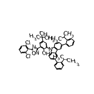 CC(C)c1ccccc1-c1ccc2c(c1)c1cc(-c3ccccc3C(C)C)ccc1n2-c1cc(C(C)(C)C)cc(-c2noc(-c3c(Cl)cccc3Cl)n2)c1O